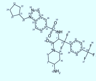 NC1CCN(C(=O)C(NS(=O)(=O)c2ccc3c(cnn3CC3CCCC3)c2)C(F)(F)c2ccc(C(F)(F)F)cc2)CC1